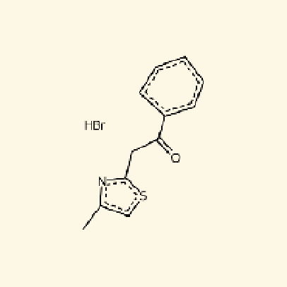 Br.Cc1csc(CC(=O)c2ccccc2)n1